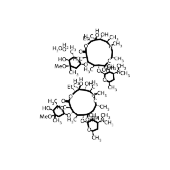 CC[C@H]1OC(=O)[C@H](C)[C@@H](O[C@H]2C[C@@](C)(OC)[C@@H](O)[C@H](C)O2)[C@H](C)[C@@H](O[C@@H]2O[C@H](C)C[C@H](N(C)C)[C@H]2O)[C@](C)(O)C[C@@H](C)CN(C)[C@H](C)[C@@H](O)[C@]1(C)O.CC[C@H]1OC(=O)[C@H](C)[C@@H](O[C@H]2C[C@@](C)(OC)[C@@H](O)[C@H](C)O2)[C@H](C)[C@@H](O[C@@H]2O[C@H](C)C[C@H](N(C)C)[C@H]2O)[C@](C)(O)C[C@@H](C)CN(C)[C@H](C)[C@@H](O)[C@]1(C)O.O.O